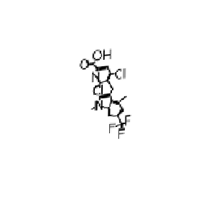 Cc1cc(C(F)(F)F)cc2c1c(Cc1c(Cl)cc(C(=O)O)nc1Cl)cn2C